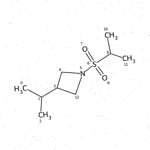 CC(C)C1CN(S(=O)(=O)C(C)C)C1